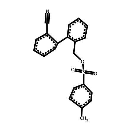 Cc1ccc(S(=O)(=O)OCc2ccccc2-c2ccccc2C#N)cc1